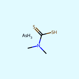 CN(C)C(=S)S.[AsH3]